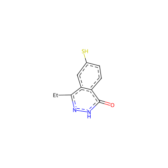 CCc1n[nH]c(=O)c2ccc(S)cc12